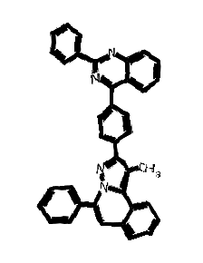 Cc1c(-c2ccc(-c3nc(-c4ccccc4)nc4ccccc34)cc2)nn2c(-c3ccccc3)cc3ccccc3c12